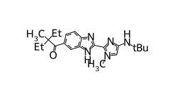 CCC(C)(CC)C(=O)c1ccc2nc(-c3nc(NC(C)(C)C)cn3C)[nH]c2c1